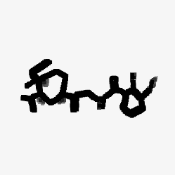 C=C[C@]1(C)CC[C@@H](C(=C)CNC(=O)c2cccc(F)c2F)C[C@H]1C(=C)C